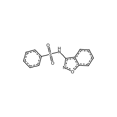 O=S(=O)(Nc1noc2ccccc12)c1ccccc1